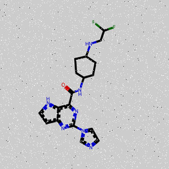 O=C(NC1CCC(NCC(F)F)CC1)c1nc(-n2ccnc2)nc2cc[nH]c12